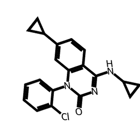 O=c1nc(NC2CC2)c2ccc(C3CC3)cc2n1-c1ccccc1Cl